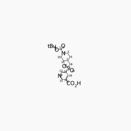 CC(C)(C)OC(=O)N1CCC(CS(=O)(=O)c2cncc(C(=O)O)c2)CC1